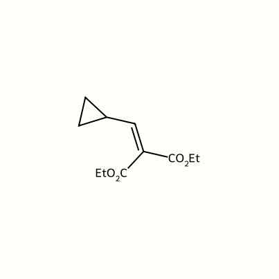 CCOC(=O)C(=CC1CC1)C(=O)OCC